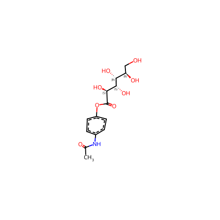 CC(=O)Nc1ccc(OC(=O)[C@@H](O)[C@@H](O)[C@H](O)[C@H](O)CO)cc1